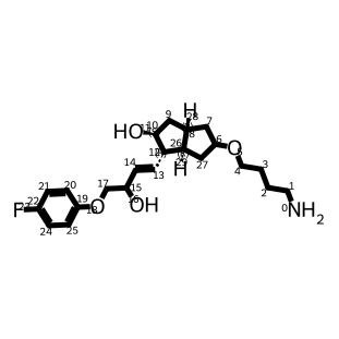 NCCCCOC1C[C@H]2C[C@H](O)[C@@H](C=CC(O)COc3ccc(F)cc3)[C@@H]2C1